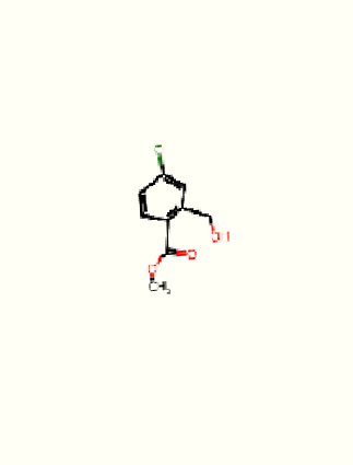 COC(=O)c1ccc(Cl)cc1CO